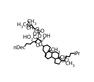 CCCCCCCCCCCCCC(=O)C(OP(=O)([O-])OCC[N+](C)(C)C)(C(=O)O)[C@H](CO)OC1CC[C@@]2(C)C(=CCC3C2CC[C@@]2(C)C3CC[C@@H]2[C@H](C)CCCC(C)C)C1